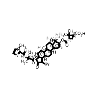 CC(C)C1=C2[C@H]3CC[C@@H]4[C@@]5(C)CC[C@H](OC(=O)[C@H]6C[C@@H](C(=O)O)C6(C)C)C(C)(C)[C@@H]5CC[C@@]4(C)[C@]3(C)CC[C@@]2(NC(=O)C(C)(C)NC(=O)c2nccn2C)CC1=O